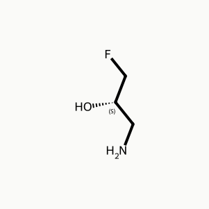 NC[C@H](O)CF